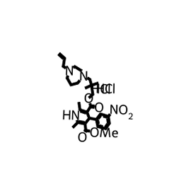 C=CCN1CCCN(CC(C)(C)COC(=O)C2=C(C)NC(C)=C(C(=O)OC)C2c2cccc([N+](=O)[O-])c2)CC1.Cl.Cl